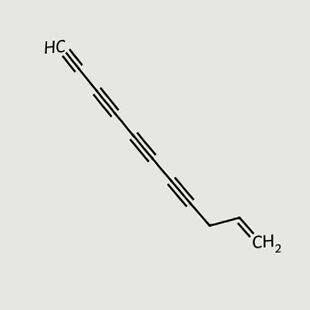 C#CC#CC#CC#CCC=C